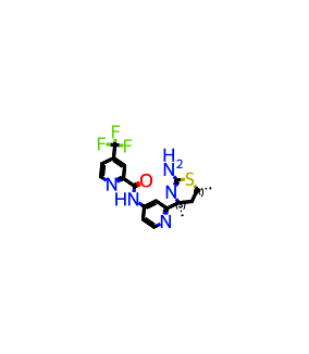 C[C@@H]1C[C@@](C)(c2cc(NC(=O)c3cc(C(F)(F)F)ccn3)ccn2)N=C(N)S1